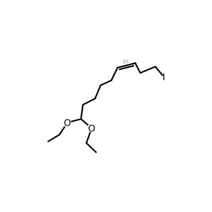 CCOC(CCCC/C=C\CCI)OCC